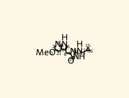 COc1cnc2[nH]cc(C=C3N=C(NCC4CC4)NC3=O)c2c1